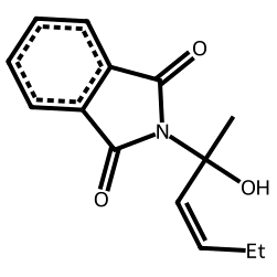 CC/C=C\C(C)(O)N1C(=O)c2ccccc2C1=O